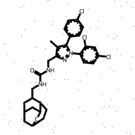 Cc1c(CNC(=O)NCC2CC3CC4CCC2C(C4)C3)nn(-c2ccc(Cl)cc2Cl)c1-c1ccc(Cl)cc1